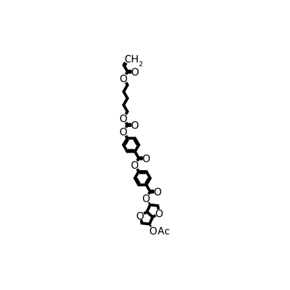 C=CC(=O)OCCCCCOC(=O)Oc1ccc(C(=O)Oc2ccc(C(=O)O[C@H]3COC4C3OC[C@@H]4OC(C)=O)cc2)cc1